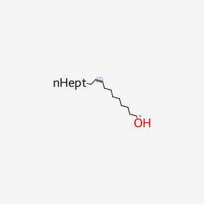 CCCCCCCC/C=C\CCCCCCC[CH]O